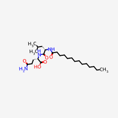 CCCCCCCCCCCCCC(=O)N[C@@H](CC(C)C)C(=O)N[C@@H](CCC(N)=O)C(=O)O